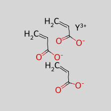 C=CC(=O)[O-].C=CC(=O)[O-].C=CC(=O)[O-].[Y+3]